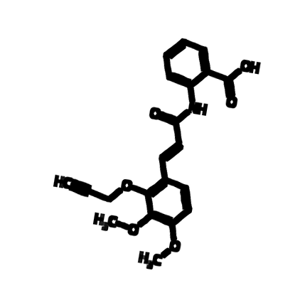 C#CCOc1c(/C=C/C(=O)Nc2ccccc2C(=O)O)ccc(OC)c1OC